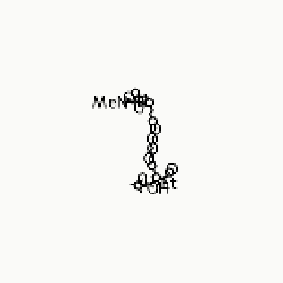 CCC(C1CCOCC1)C1CC(C2CCC(OCCOCCOCCOC3CCC(CCC4CCC5CCN(C(=O)C(CC(=O)C(C)NC)C6CCCCC6)C5C4)CC3)CC2)CC(C(O)CCC2C(=O)CC(C)CC2C)C1C